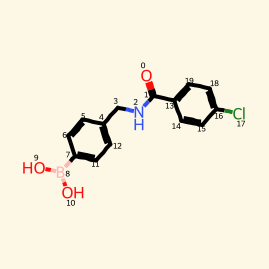 O=C(NCc1ccc(B(O)O)cc1)c1ccc(Cl)cc1